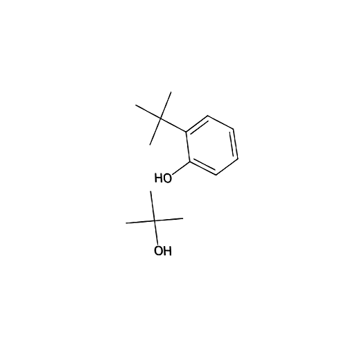 CC(C)(C)O.CC(C)(C)c1ccccc1O